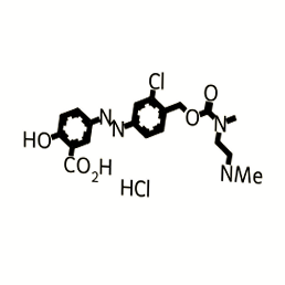 CNCCN(C)C(=O)OCc1ccc(N=Nc2ccc(O)c(C(=O)O)c2)cc1Cl.Cl